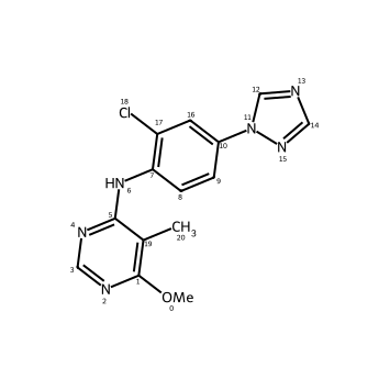 COc1ncnc(Nc2ccc(-n3cncn3)cc2Cl)c1C